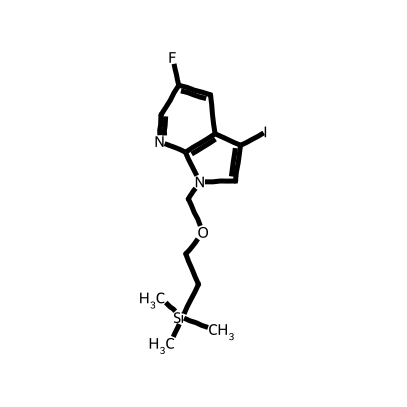 C[Si](C)(C)CCOCn1cc(I)c2cc(F)cnc21